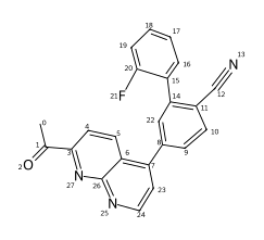 CC(=O)c1ccc2c(-c3ccc(C#N)c(-c4ccccc4F)c3)ccnc2n1